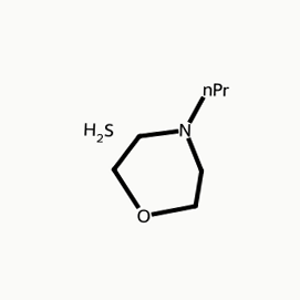 CCCN1CCOCC1.S